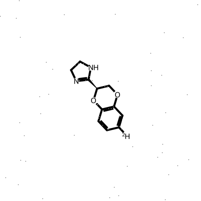 [2H]c1ccc2c(c1)OC[C@H](C1=NCCN1)O2